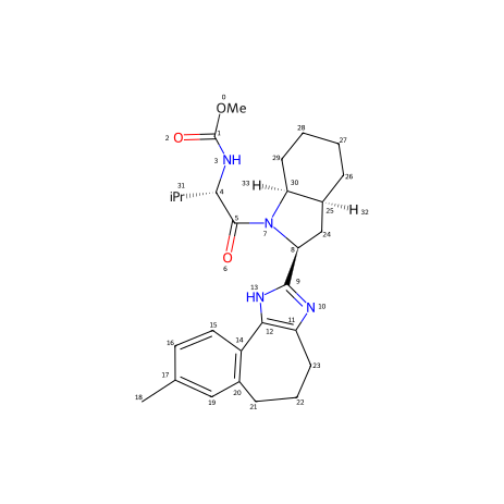 COC(=O)N[C@H](C(=O)N1[C@H](c2nc3c([nH]2)-c2ccc(C)cc2CCC3)C[C@@H]2CCCC[C@@H]21)C(C)C